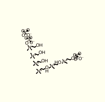 C[N+](C)(C)CCO.C[N+](C)(C)CCO.C[N+](C)(C)CCO.C[N+](C)(C)CCO.C[N+](C)(C)CCO.C[N+](C)(C)CCO.O=S(=O)([O-])[O-].O=S(=O)([O-])[O-].O=S(=O)([O-])[O-]